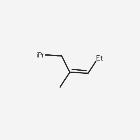 [CH2]CC=C(C)CC(C)C